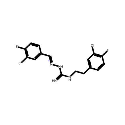 N=C(NCCc1ccc(F)c(Cl)c1)N/N=C/c1ccc(F)c(Cl)c1